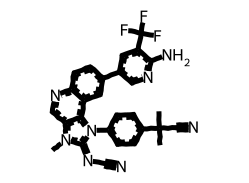 Cn1/c(=N/C#N)n(-c2ccc(C(C)(C)C#N)cc2)c2c3cc(-c4cnc(N)c(C(F)(F)F)c4)ccc3ncc21